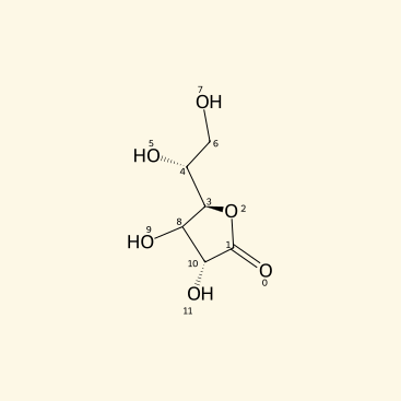 O=C1O[C@H]([C@H](O)CO)C(O)[C@H]1O